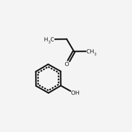 CCC(C)=O.Oc1ccccc1